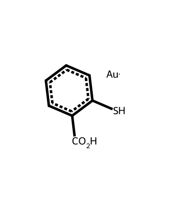 O=C(O)c1ccccc1S.[Au]